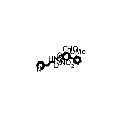 COC1=C(c2ccccc2)CC([N+](=O)[O-])(S(=O)(=O)NC(=O)CCc2cccnc2)C=C1C=O